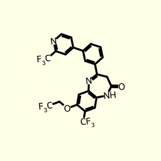 O=C1CC(c2cccc(-c3ccnc(C(F)(F)F)c3)c2)=Nc2cc(OCC(F)(F)F)c(C(F)(F)F)cc2N1